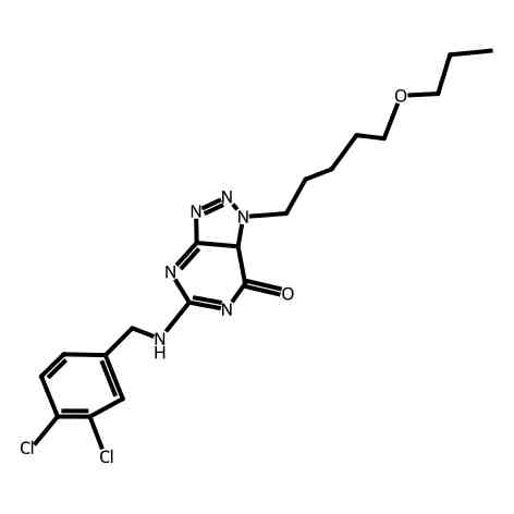 CCCOCCCCCN1N=NC2=NC(NCc3ccc(Cl)c(Cl)c3)=NC(=O)C21